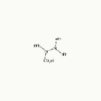 CCCN(CCC)N(CCC)C(=O)OCC